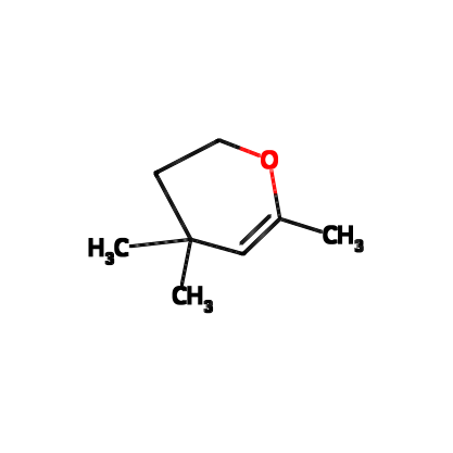 CC1=CC(C)(C)CCO1